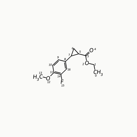 CCOC(=O)C1CC1c1ccc(OC)c(F)c1